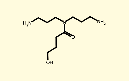 NCCCN(CCCN)C(=O)CCCO